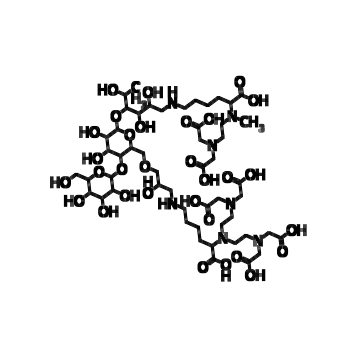 CC(O)C(OC1OC(COCC(O)CNCCCCC(C(=O)O)N(CCN(CC(=O)O)CC(=O)O)CCN(CC(=O)O)CC(=O)O)C(OC2OC(CO)C(O)C(O)C2O)C(O)C1O)C(O)C(O)CNCCCCC(C(=O)O)N(C)CCN(CC(=O)O)CC(=O)O